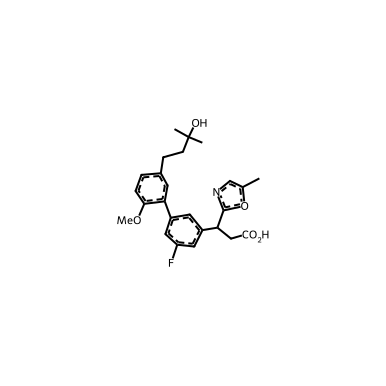 COc1ccc(CCC(C)(C)O)cc1-c1cc(F)cc(C(CC(=O)O)c2ncc(C)o2)c1